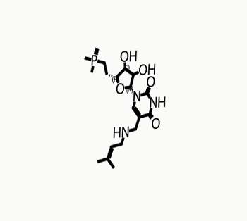 C=P(C)(C)CC[C@H]1O[C@@H](n2cc(CNCC=C(C)C)c(=O)[nH]c2=O)C(O)[C@@H]1O